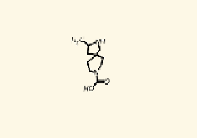 CC1CC2(CCN(C(=O)O)CC2)CN1